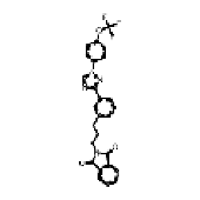 O=C1c2ccccc2C(=O)N1CCCc1cccc(-c2ncn(-c3ccc(OC(F)(F)F)cc3)n2)c1